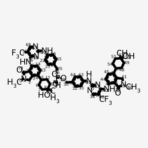 CN1Cc2c(C3CCC(C)(O)CC3)ccc(Nc3nc(Nc4ccc(CO[PH](=O)OCc5ccc(Nc6ncc(C(F)(F)F)c(Nc7ccc(C8CCC(C)(O)CC8)c8c7C(=O)N(C)C8)n6)cc5)cc4)ncc3C(F)(F)F)c2C1=O